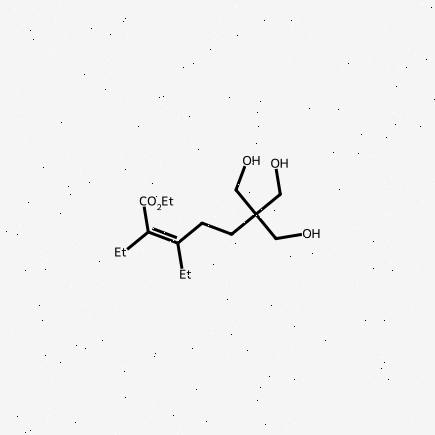 CCOC(=O)C(CC)=C(CC)CCC(CO)(CO)CO